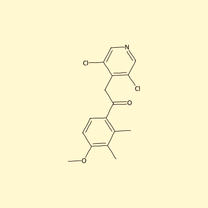 COc1ccc(C(=O)Cc2c(Cl)cncc2Cl)c(C)c1C